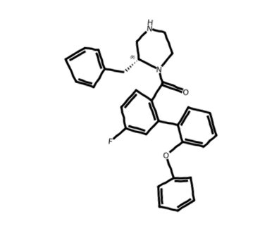 O=C(c1ccc(F)cc1-c1ccccc1Oc1ccccc1)N1CCNC[C@H]1Cc1ccccc1